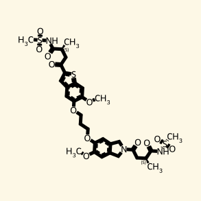 COc1cc2c(cc1OCCCOc1cc3cc(C(=O)C[C@H](C)C(=O)NS(C)(=O)=O)sc3cc1OC)CN(C(=O)C[C@H](C)C(=O)NS(C)(=O)=O)C2